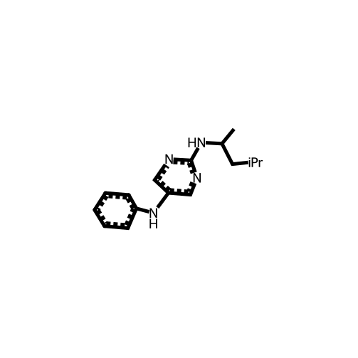 CC(C)CC(C)Nc1ncc(Nc2ccccc2)cn1